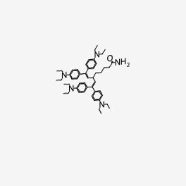 CCN(CC)c1ccc(C(=CC(C=C(c2ccc(N(CC)CC)cc2)c2ccc(N(CC)CC)cc2)CCCCC(N)=O)c2ccc(N(CC)CC)cc2)cc1